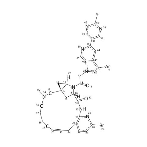 CC(=O)c1nn(CC(=O)N2[C@H]3C[C@]4(C[C@@H]24)CN(C)CCCCC=CCc2ccc(Br)nc2NC3=O)c2cnc(-c3cnc(C)nc3)cc12